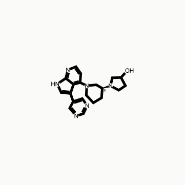 OC1CCN([C@H]2CCCN(c3ccnc4[nH]cc(-c5cncnc5)c34)C2)C1